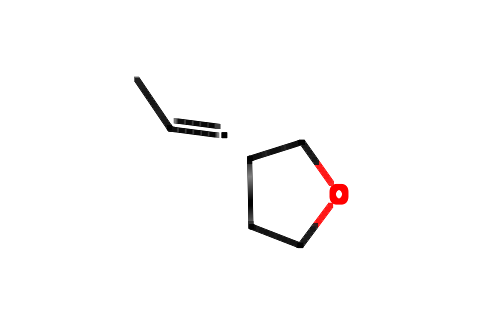 C1CCOC1.[CH]=CC